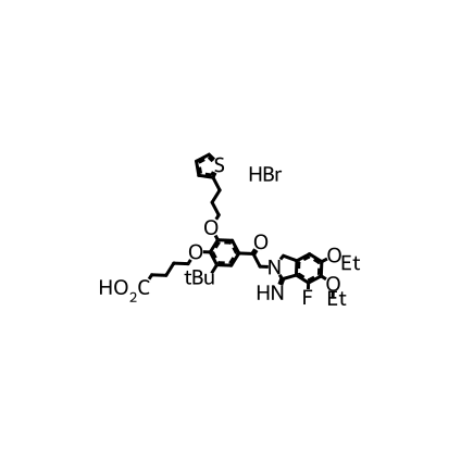 Br.CCOc1cc2c(c(F)c1OCC)C(=N)N(CC(=O)c1cc(OCCCc3cccs3)c(OCCCCC(=O)O)c(C(C)(C)C)c1)C2